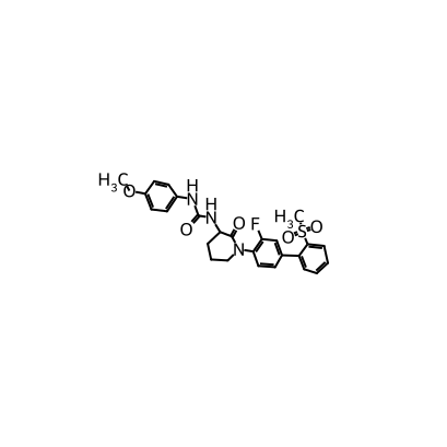 COc1ccc(NC(=O)NC2CCCN(c3ccc(-c4ccccc4S(C)(=O)=O)cc3F)C2=O)cc1